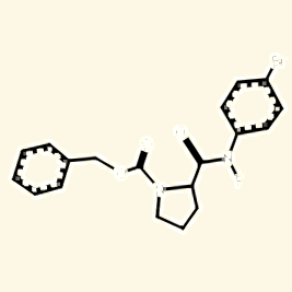 O=C(C1CCCN1C(=O)OCc1ccccc1)N(F)c1ccc(Br)cc1